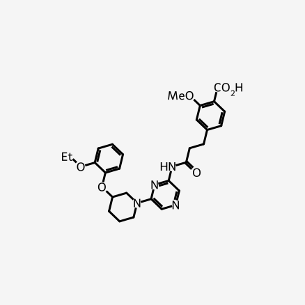 CCOc1ccccc1OC1CCCN(c2cncc(NC(=O)CCc3ccc(C(=O)O)c(OC)c3)n2)C1